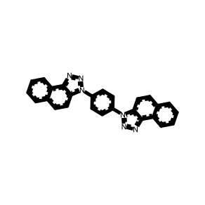 c1ccc2c(c1)ccc1c2nnn1-c1ccc(-n2nnc3c4ccccc4ccc32)cc1